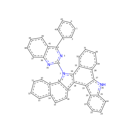 c1ccc(-c2nc(-n3c4c5ccccc5ccc4c4c5c6ccccc6[nH]c5c5ccccc5c43)nc3ccccc23)cc1